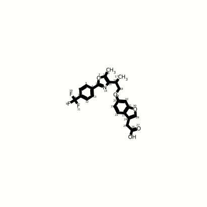 Cc1oc(-c2ccc(C(F)(F)F)cc2)nc1C(C)COc1ccc2c(CC(=O)O)coc2c1